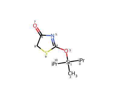 CC(C)[Si](C)(OC1=NC(=O)CS1)C(C)C